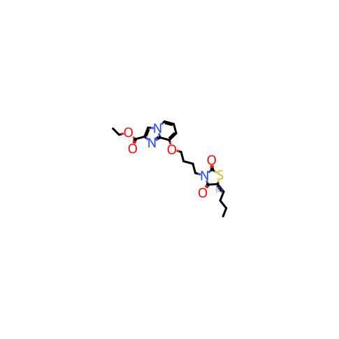 CCC/C=C1/SC(=O)N(CCCCOc2cccn3cc(C(=O)OCC)nc23)C1=O